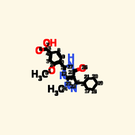 COc1cc(C(=O)O)ccc1-c1nc2c(c(C3CCCCC3)nn2C)c(=O)[nH]1